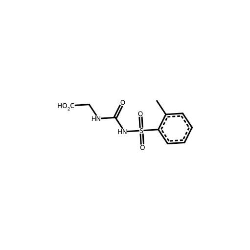 Cc1ccccc1S(=O)(=O)NC(=O)NCC(=O)O